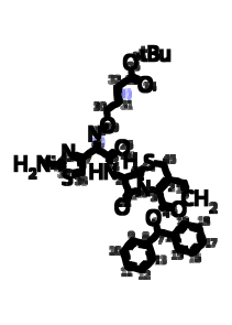 C=CC1=C(C(=O)OC(c2ccccc2)c2ccccc2)N2C(=O)C(NC(=O)/C(=N\OC/C=C/C(=O)OC(C)(C)C)c3csc(N)n3)[C@H]2SC1